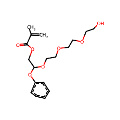 C=C(C)C(=O)OCC(OCCOCCOCCO)Oc1ccccc1